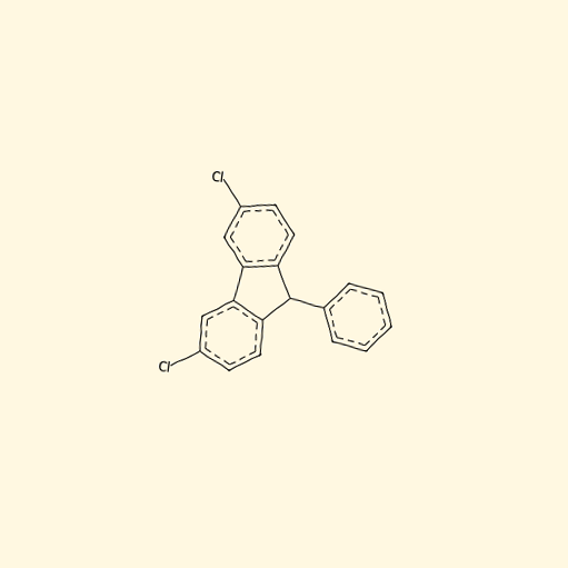 Clc1ccc2c(c1)-c1cc(Cl)ccc1C2c1ccccc1